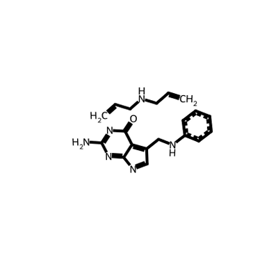 C=CCNCC=C.NC1=NC(=O)C2=C(CNc3ccccc3)C=NC2=N1